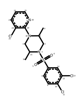 CC1CN(S(=O)(=O)c2ccc(Cl)c(Cl)c2)C(C)CN1c1ncccc1Cl